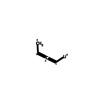 [Li][CH]=C=CC